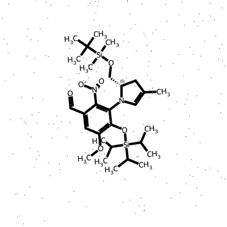 COc1cc(C=O)c([N+](=O)[O-])c(N2C=C(C)C[C@H]2CO[Si](C)(C)C(C)(C)C)c1O[Si](C(C)C)(C(C)C)C(C)C